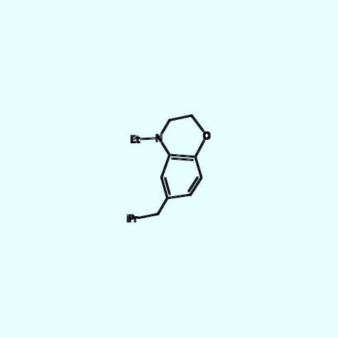 CCN1CCOc2ccc(CC(C)C)cc21